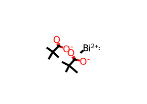 CC(C)(C)C(=O)[O-].CC(C)(C)C(=O)[O-].[CH3][Bi+2]